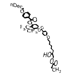 C=CC(=O)OCC(O)CCCCCCOc1ccc(C(=O)Oc2ccc(OC(=O)c3ccc(OCCCCCCCCCCC)cc3)c(C(F)(F)F)c2C(F)(F)F)cc1